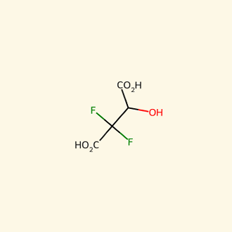 O=C(O)C(O)C(F)(F)C(=O)O